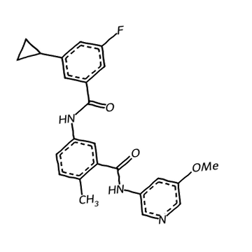 COc1cncc(NC(=O)c2cc(NC(=O)c3cc(F)cc(C4CC4)c3)ccc2C)c1